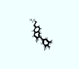 CCCC1CCc2cc(-c3cc(F)c(F)c(F)c3)c(F)cc2C1